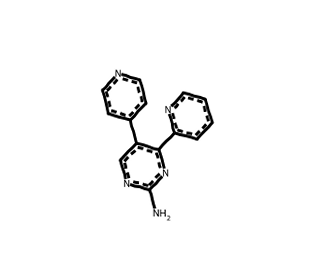 Nc1ncc(-c2ccncc2)c(-c2ccccn2)n1